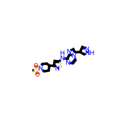 CS(=O)(=O)N1CCC(c2cc(NC3=NC=CN4C3=NCC4C3C=NNC3)sn2)CC1